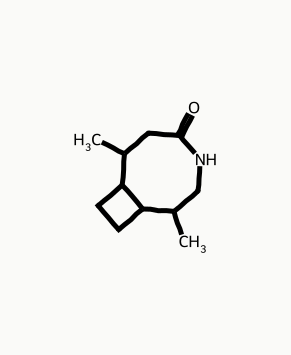 CC1CNC(=O)CC(C)C2CCC12